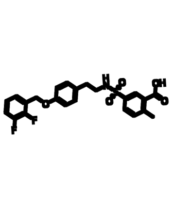 Cc1ccc(S(=O)(=O)NCCc2ccc(OCc3cccc(F)c3F)cc2)cc1C(=O)O